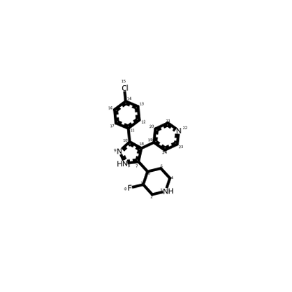 FC1CNCCC1c1[nH]nc(-c2ccc(Cl)cc2)c1-c1ccncc1